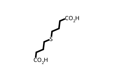 O=C(O)CCCSCCCC(=O)O